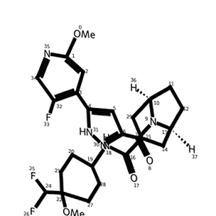 COc1cc(-c2cc(C(=O)N3[C@@H]4CC[C@H]3CC(C(=O)NC3CCC(OC)(C(F)F)CC3)C4)n[nH]2)c(F)cn1